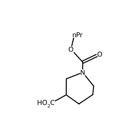 CCCOC(=O)N1CCCC(C(=O)O)C1